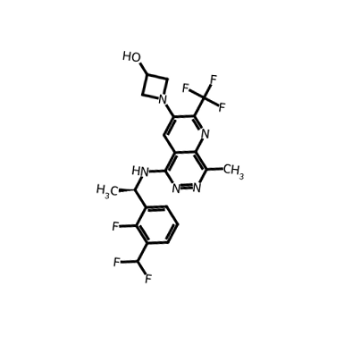 Cc1nnc(N[C@H](C)c2cccc(C(F)F)c2F)c2cc(N3CC(O)C3)c(C(F)(F)F)nc12